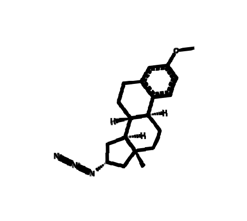 COc1ccc2c(c1)CC[C@@H]1[C@@H]2CC[C@]2(C)C[C@H](N=[N+]=[N-])C[C@@H]12